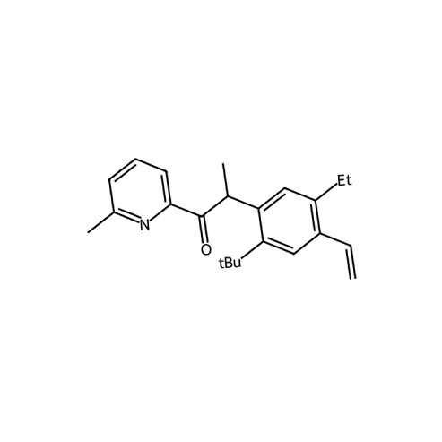 C=Cc1cc(C(C)(C)C)c(C(C)C(=O)c2cccc(C)n2)cc1CC